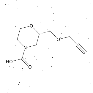 C#CCOC[C@@H]1CN(C(=O)O)CCO1